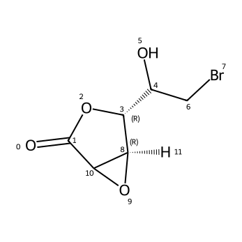 O=C1O[C@H](C(O)CBr)[C@H]2OC12